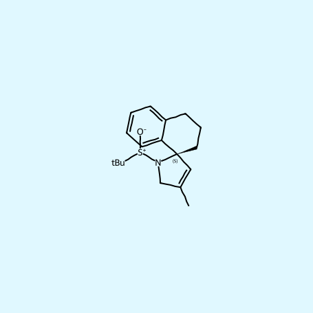 CC1=C[C@]2(CCCc3ccccc32)N([S+]([O-])C(C)(C)C)C1